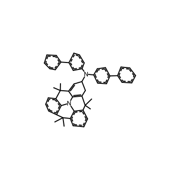 CC1(C)C2=CC(N(c3ccc(-c4ccccc4)cc3)c3cccc(-c4ccccc4)c3)CC3=C2N2c4c1cccc4C(C)(C)c1cccc(c12)C3(C)C